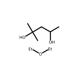 CC(O)CC(C)(C)O.CCOCC